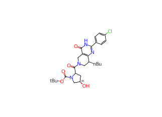 CCCCC1CN(C(=O)C2C[C@@H](O)CN2C(=O)OC(C)(C)C)Cc2c1nc(-c1ccc(Cl)cc1)[nH]c2=O